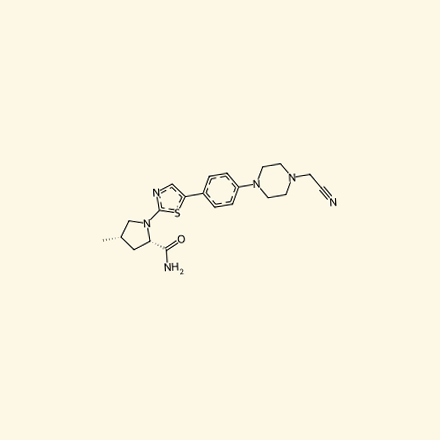 C[C@H]1C[C@@H](C(N)=O)N(c2ncc(-c3ccc(N4CCN(CC#N)CC4)cc3)s2)C1